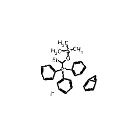 CCC(O[Si](C)(C)C)[P+](c1ccccc1)(c1ccccc1)c1ccccc1.[I-].c1cc2cc-2c1